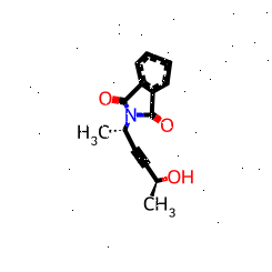 C[C@H](O)C#C[C@H](C)N1C(=O)c2ccccc2C1=O